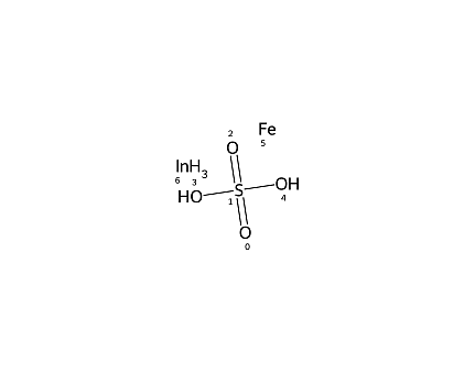 O=S(=O)(O)O.[Fe].[InH3]